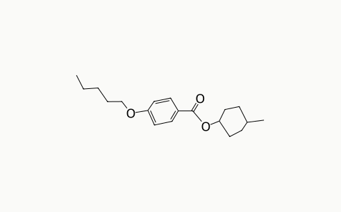 CCCCCOc1ccc(C(=O)OC2CCC(C)CC2)cc1